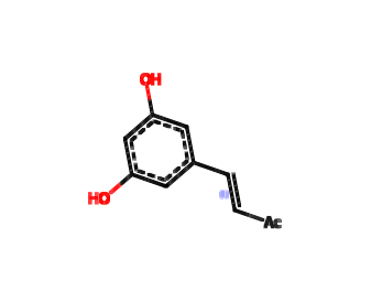 CC(=O)/C=C/c1cc(O)cc(O)c1